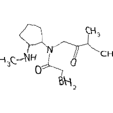 BCC(=O)N(CC(=O)C(C)C)C1CCCC1NC